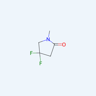 CN1CC(F)(F)CC1=O